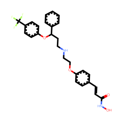 O=C(/C=C/c1ccc(OCCNCCC(Oc2ccc(C(F)(F)F)cc2)c2ccccc2)cc1)NO